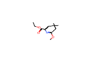 CCOC(=O)C1=CC(C)(C)CC(OC)=N1